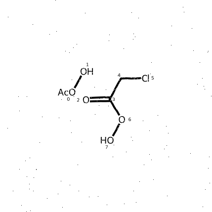 CC(=O)OO.O=C(CCl)OO